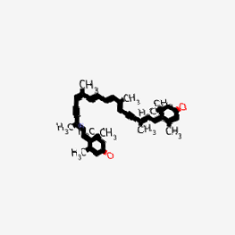 CC(C#CC=C(C)C=CC=CC(C)=CC#C/C(C)=C/C=C1C(C)=CC(=O)CC1(C)C)=CC=C1C(C)=CC(=O)CC1(C)C